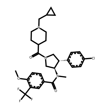 COc1ccc(C(=O)N(C)[C@H]2CN(C(=O)C3CCN(CC4CC4)CC3)C[C@@H]2c2ccc(Cl)cc2)cc1C(F)(F)F